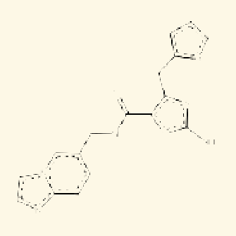 Nc1nc(Cc2ccco2)c(C(=O)NCc2ccc3nccn3c2)s1